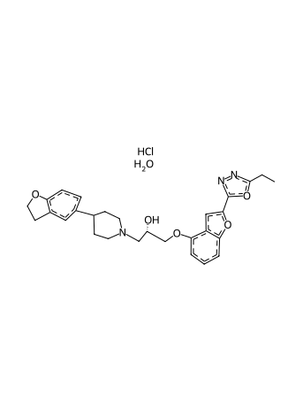 CCc1nnc(-c2cc3c(OC[C@@H](O)CN4CCC(c5ccc6c(c5)CCO6)CC4)cccc3o2)o1.Cl.O